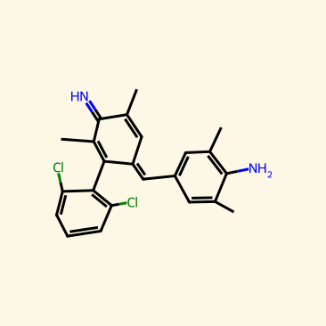 CC1=CC(=Cc2cc(C)c(N)c(C)c2)C(c2c(Cl)cccc2Cl)=C(C)C1=N